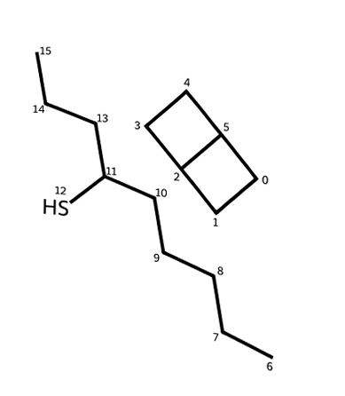 C1CC2CCC12.CCCCCC(S)CCC